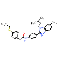 CCSc1ccc(CC(=O)Nc2ccc(-c3nc4ccc(C)cc4n3CCC(C)C)cc2)cc1